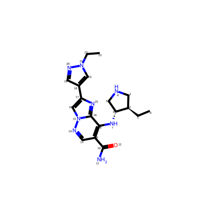 CC[C@@H]1CNC[C@H]1Nc1c(C(N)=O)cnn2cc(-c3cnn(CC)c3)nc12